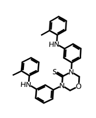 Cc1ccccc1Nc1cccc(N2COCN(c3cccc(Nc4ccccc4C)c3)C2=S)c1